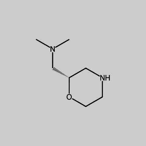 CN(C)C[C@@H]1CNCCO1